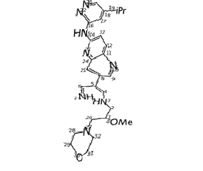 COC(CN/C=C(\C=N)c1cnc2ccc(Nc3cc(C(C)C)cnn3)nc2c1)CN1CCOCC1